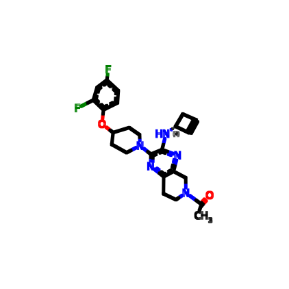 CC(=O)N1CCc2nc(N3CCC(Oc4ccc(F)cc4F)CC3)c(N[C@H]3C#CC3)nc2C1